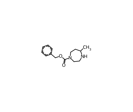 CC1CCN(C(=O)OCc2ccccc2)CCN1